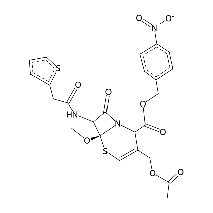 CO[C@]12SC=C(COC(C)=O)C(C(=O)OCc3ccc([N+](=O)[O-])cc3)N1C(=O)C2NC(=O)Cc1cccs1